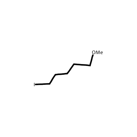 COCCCCCI